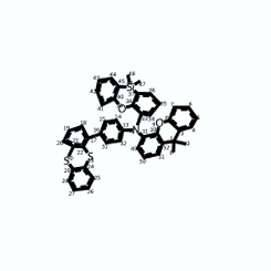 CC1(C)c2ccccc2Oc2c(N(c3ccc(-c4cccc5c4Sc4ccccc4S5)cc3)c3cccc4c3Oc3ccccc3[Si]4(C)C)cccc21